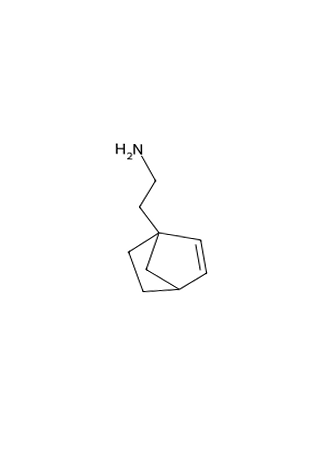 NCCC12C=CC(CC1)C2